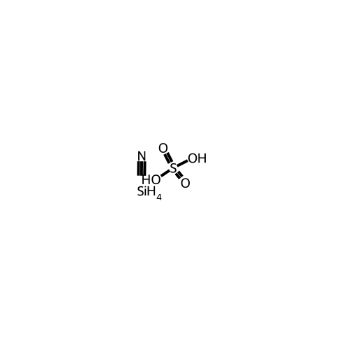 C#N.O=S(=O)(O)O.[SiH4]